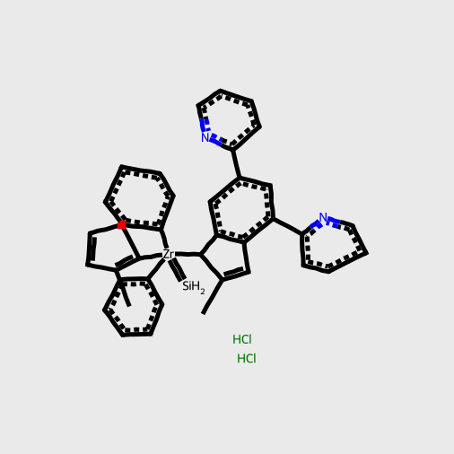 CC1=Cc2c(-c3ccccn3)cc(-c3ccccn3)cc2[CH]1[Zr](=[SiH2])([C]1=C(C)C=CC1)([c]1ccccc1)[c]1ccccc1.Cl.Cl